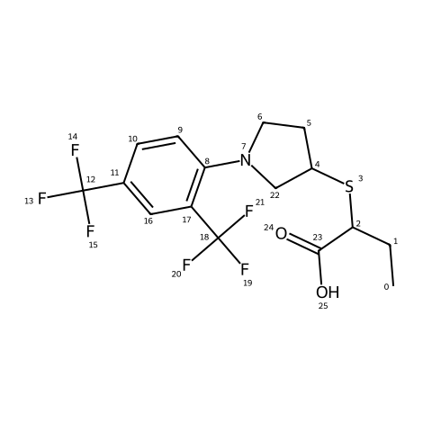 CCC(SC1CCN(c2ccc(C(F)(F)F)cc2C(F)(F)F)C1)C(=O)O